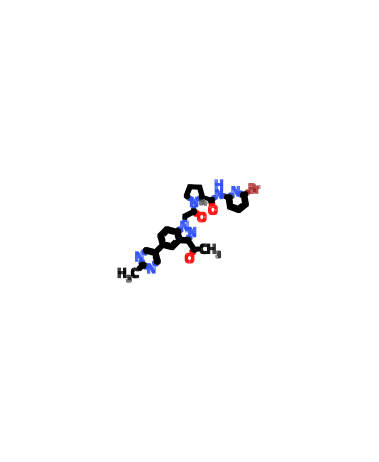 CC(=O)c1nn(CC(=O)N2CCC[C@H]2C(=O)Nc2cccc(Br)n2)c2ccc(-c3cnc(C)nc3)cc12